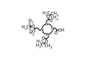 CC(C)(C)OC(=O)CCN1CCN(CC(=O)OC(C)(C)C)CCN(CC(=O)O)CCN(CC(=O)OC(C)(C)C)CC1